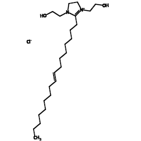 CCCCCCCCC=CCCCCCCCC1=[N+](CCO)CCN1CCO.[Cl-]